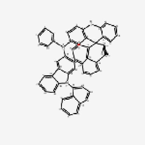 c1ccc(N(c2ccc3c(c2)C2(c4ccccc4S3)c3ccccc3-c3cccc4cccc2c34)c2ccc3c(c2)c2ccccc2n3-c2cccc3ccccc23)cc1